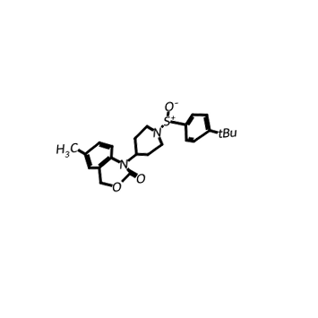 Cc1ccc2c(c1)COC(=O)N2C1CCN([S+]([O-])c2ccc(C(C)(C)C)cc2)CC1